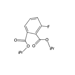 CC(C)OC(=O)c1cccc(F)c1C(=O)OC(C)C